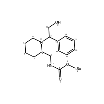 CC(C)(C)OC(=O)NCC1CCCCN1C(CO)c1ccccc1